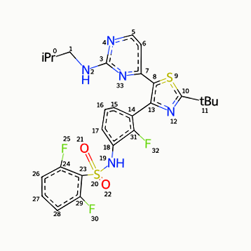 CC(C)CNc1nccc(-c2sc(C(C)(C)C)nc2-c2cccc(NS(=O)(=O)c3c(F)cccc3F)c2F)n1